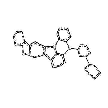 c1cncc(-c2cccc(N3c4ccccc4-n4c5cc6c(cc5c5cccc3c54)oc3ccccc36)c2)c1